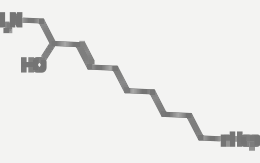 CCCCCCCCCCCCCC=CC(O)CN